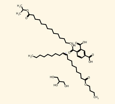 CCCCCCCC/C=C\CCCCCCCC(=O)OCCCC.CCCCCCCCCCCCCC(=O)OC(C)C.O=C(O)c1ccc(C(=O)O)c(C(=O)O)c1.OCC(O)CO